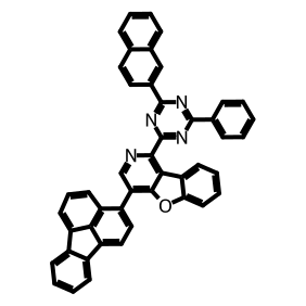 c1ccc(-c2nc(-c3ccc4ccccc4c3)nc(-c3ncc(-c4ccc5c6c(cccc46)-c4ccccc4-5)c4oc5ccccc5c34)n2)cc1